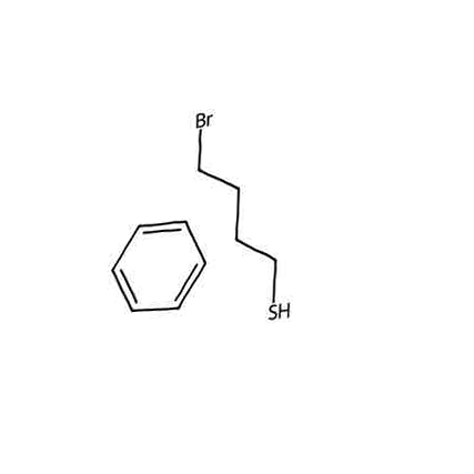 SCCCCBr.c1ccccc1